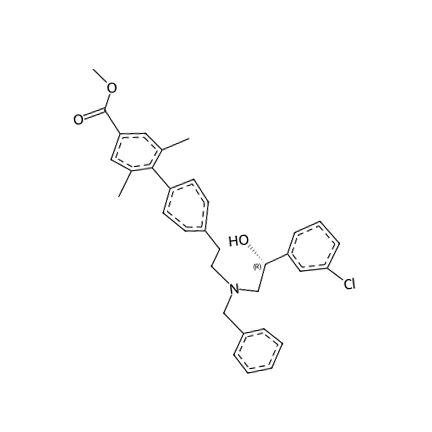 COC(=O)c1cc(C)c(-c2ccc(CCN(Cc3ccccc3)C[C@H](O)c3cccc(Cl)c3)cc2)c(C)c1